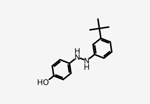 CC(C)(C)c1cccc(NNc2ccc(O)cc2)c1